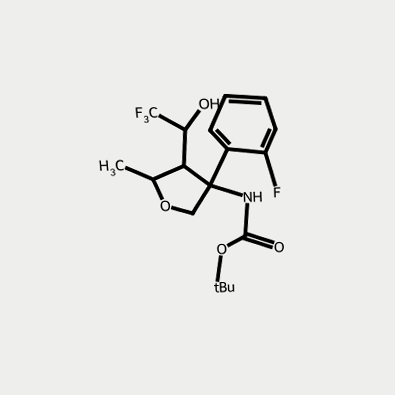 CC1OCC(NC(=O)OC(C)(C)C)(c2ccccc2F)C1C(O)C(F)(F)F